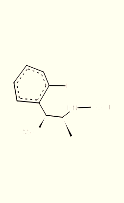 CO[C@@H](c1ccccc1I)[C@H](C)NS(=O)(=O)O